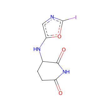 O=C1CCC(Nc2cnc(I)o2)C(=O)N1